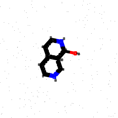 [O]c1nccc2ccncc12